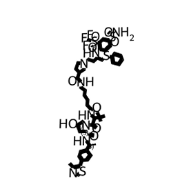 Cc1ncsc1-c1ccc([C@H](C)NC(=O)[C@@H]2C[C@@H](O)CN2C(=O)C(NC(=O)CCCCCNC(=O)C2CCN(CCC(CSc3ccccc3)Nc3ccc(S(N)(=O)=O)cc3S(=O)(=O)C(F)(F)F)C2)C(C)(C)C)cc1